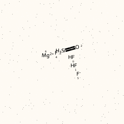 F.F.O=[SiH2].[F-].[F-].[Mg+2]